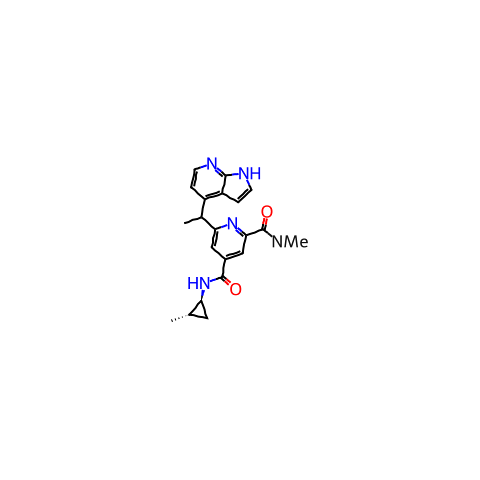 CNC(=O)c1cc(C(=O)N[C@H]2C[C@@H]2C)cc(C(C)c2ccnc3[nH]ccc23)n1